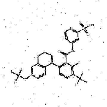 NS(=O)(=O)c1cc(NC(=O)c2c(C3CCOc4cc(OC(F)(F)F)ccc43)ccc(C(F)(F)F)c2F)ccn1